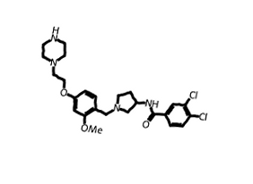 COc1cc(OCCN2CCNCC2)ccc1CN1CCC(NC(=O)c2ccc(Cl)c(Cl)c2)C1